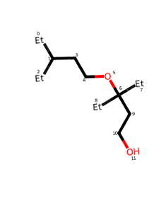 CCC(CC)CCOC(CC)(CC)CCO